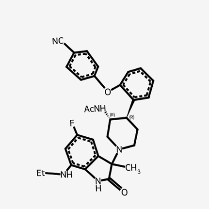 CCNc1cc(F)cc2c1NC(=O)C2(C)N1CC[C@H](c2ccccc2Oc2ccc(C#N)cc2)[C@@H](NC(C)=O)C1